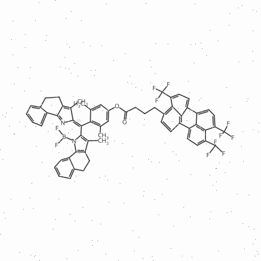 CC1=C2CCc3ccccc3C2=N/C1=C(/c1c(C)cc(OC(=O)CCCc2ccc3c4ccc(C(F)(F)F)c5c(C(F)(F)F)ccc(c6ccc(C(F)(F)F)c2c36)c54)cc1C)c1c(C)c2c(n1B(F)F)-c1ccccc1CC2